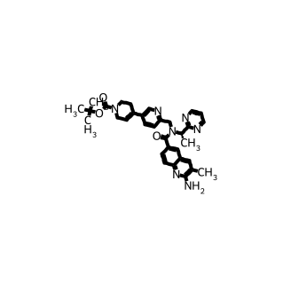 Cc1cc2cc(C(=O)N(Cc3ccc(C4=CCN(C(=O)OC(C)(C)C)CC4)cn3)[C@H](C)c3ncccn3)ccc2nc1N